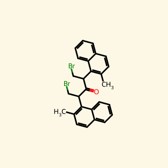 Cc1ccc2ccccc2c1C(CBr)C(=O)C(CBr)c1c(C)ccc2ccccc12